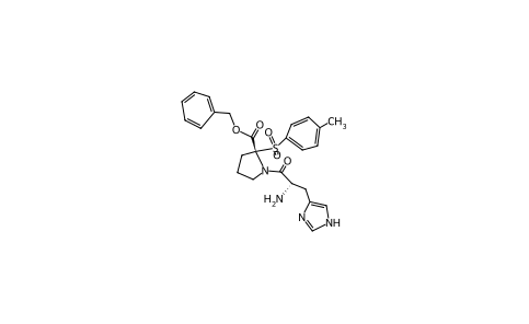 Cc1ccc(S(=O)(=O)[C@@]2(C(=O)OCc3ccccc3)CCCN2C(=O)[C@@H](N)Cc2c[nH]cn2)cc1